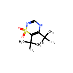 CC(C)(C)C1=C(C(C)(C)C)S(=O)(=O)N=CN1